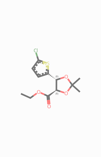 CCOC(=O)[C@@H]1OC(C)(C)O[C@H]1c1ccc(Cl)s1